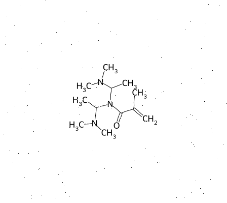 C=C(C)C(=O)N(C(C)N(C)C)C(C)N(C)C